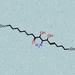 CCCCCCCCCCCCCC=CC(O)C(N)C(O)C(=O)CCCCCCCCCCCCCCCCC